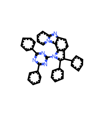 c1ccc(-c2nc(-c3ccccc3)nc(-n3c(-c4ccccc4)c(-c4ccccc4)c4ccc5nc6ccccn6c5c43)n2)cc1